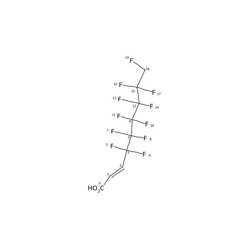 O=C(O)C=CC(F)(F)C(F)(F)C(F)(F)C(F)(F)C(F)(F)CF